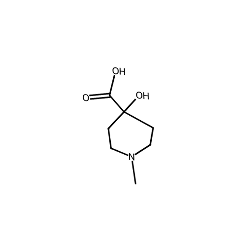 CN1CCC(O)(C(=O)O)CC1